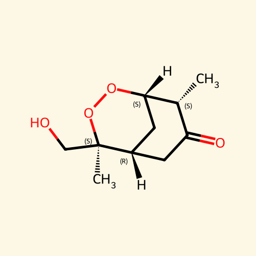 C[C@@H]1C(=O)C[C@H]2C[C@@H]1OO[C@]2(C)CO